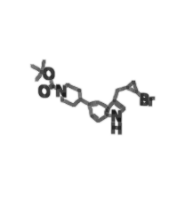 CC(C)(C)OC(=O)N1CCC(c2ccc3[nH]cc(CC4CC4Br)c3c2)CC1